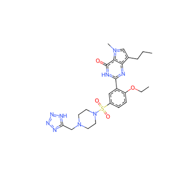 CCCc1cn(C)c2c(=O)[nH]c(-c3cc(S(=O)(=O)N4CCN(Cc5nnn[nH]5)CC4)ccc3OCC)nc12